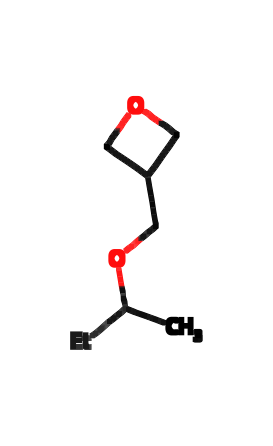 CCC(C)OCC1COC1